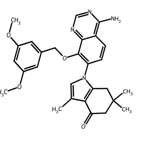 COc1cc(COc2c(-n3cc(C)c4c3CC(C)(C)CC4=O)ccc3c(N)ncnc23)cc(OC)c1